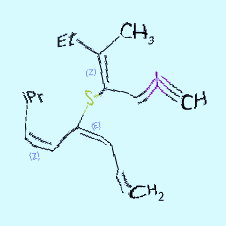 C#I=C/C(SC(/C=C\C(C)C)=C/C=C)=C(\C)CC